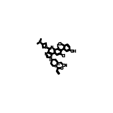 C=CC(=O)N1CC[C@H](n2cnc3c(N4CC(N(C)C)C4)nc4c(F)c(-c5cc(O)ccc5Cl)c(Cl)cc4c32)C[C@H]1CC#N